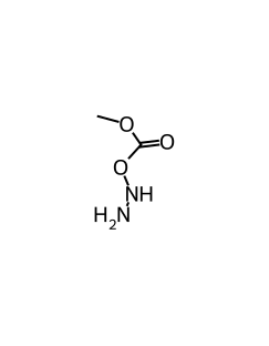 COC(=O)ONN